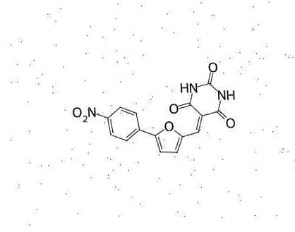 O=C1NC(=O)C(=Cc2ccc(-c3ccc([N+](=O)[O-])cc3)o2)C(=O)N1